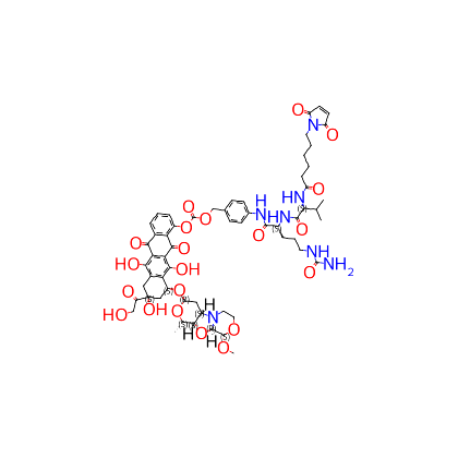 CO[C@H]1OCCN2[C@@H]1O[C@@H]1[C@H](C)O[C@@H](O[C@H]3C[C@](O)(C(=O)CO)Cc4c(O)c5c(c(O)c43)C(=O)c3c(OC(=O)OCc4ccc(NC(=O)[C@H](CCCNC(N)=O)NC(=O)[C@@H](NC(=O)CCCCCN6C(=O)C=CC6=O)C(C)C)cc4)cccc3C5=O)C[C@@H]12